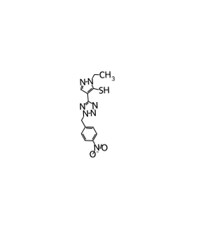 CCn1ncc(-c2nnn(Cc3ccc([N+](=O)[O-])cc3)n2)c1S